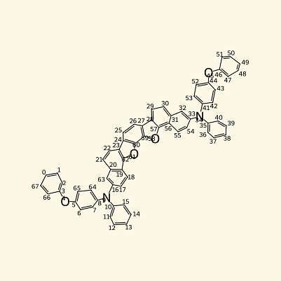 c1ccc(Oc2ccc(N(c3ccccc3)c3ccc4c(ccc5c6ccc7c8ccc9cc(N(c%10ccccc%10)c%10ccc(Oc%11ccccc%11)cc%10)ccc9c8oc7c6oc45)c3)cc2)cc1